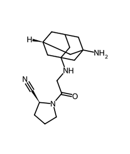 N#C[C@@H]1CCCN1C(=O)CNC12CC3C[C@H](CC(N)(C3)C1)C2